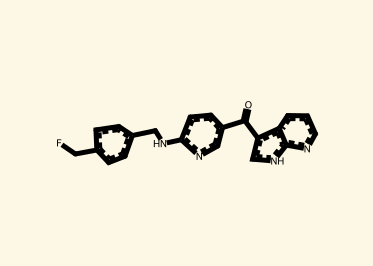 O=C(c1ccc(NCc2ccc(CF)cc2)nc1)c1c[nH]c2ncccc12